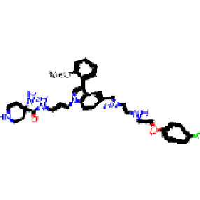 COc1ccccc1-c1cn(CCCNC(=O)C2(N)CCNCC2)c2ccc(CNCCNCCOc3ccc(Cl)cc3)cc12